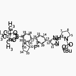 CC(C)(C)OC(=O)N1CCCC1c1ncc(-c2ccc(-c3ccc(B4OC(C)(C)C(C)(C)O4)c4c3C3CCC4C3)c(F)c2)[nH]1